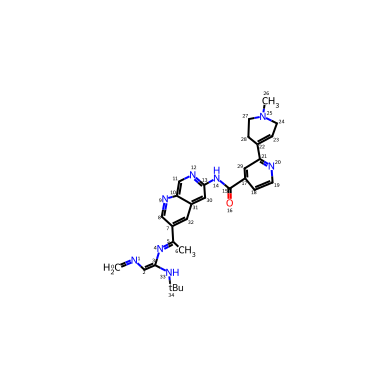 C=N/C=C(\N=C(/C)c1cnc2cnc(NC(=O)c3ccnc(C4=CCN(C)CC4)c3)cc2c1)NC(C)(C)C